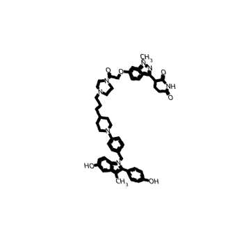 Cc1c(-c2ccc(O)cc2)n(Cc2ccc(N3CCC(CCCN4CCN(C(=O)COc5ccc6c(C7CCC(=O)NC7=O)nn(C)c6c5)CC4)CC3)cc2)c2ccc(O)cc12